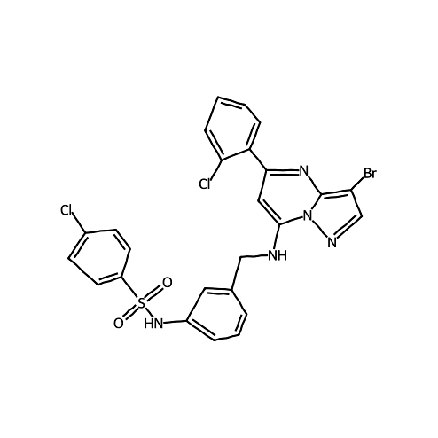 O=S(=O)(Nc1cccc(CNc2cc(-c3ccccc3Cl)nc3c(Br)cnn23)c1)c1ccc(Cl)cc1